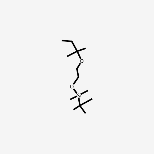 CCC(C)(C)OCCO[Si](C)(C)C(C)(C)C